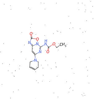 CCOC(=O)Nc1nc(N2CC=CCC2)cc2nc(=O)on12